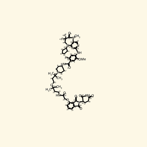 COc1cc(C(=O)NC2CCN(C(C)(C)CCOC(C)(C)CCNC(=O)COc3cccc4c3C(=O)N(C3CCC(=O)NC3=O)C4=O)CC2)c(F)cc1Nc1ncc2c(n1)N(C1CCCC1)CC(F)(F)C(=O)N2C